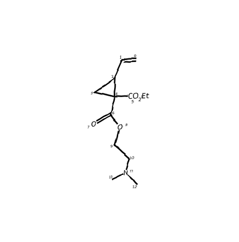 C=CC1CC1(C(=O)OCC)C(=O)OCCN(C)C